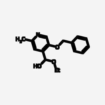 CCOC(O)c1cc(C)ncc1OCc1ccccc1